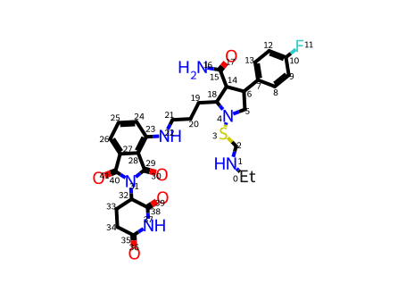 CCNCSN1CC(c2ccc(F)cc2)C(C(N)=O)C1CCCNc1cccc2c1C(=O)N(C1CCC(=O)NC1=O)C2=O